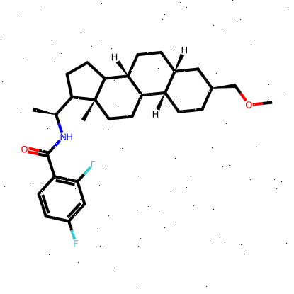 COC[C@H]1CC[C@@H]2C3CC[C@@]4(C)C(CCC4[C@H](C)NC(=O)c4ccc(F)cc4F)[C@@H]3CC[C@@H]2C1